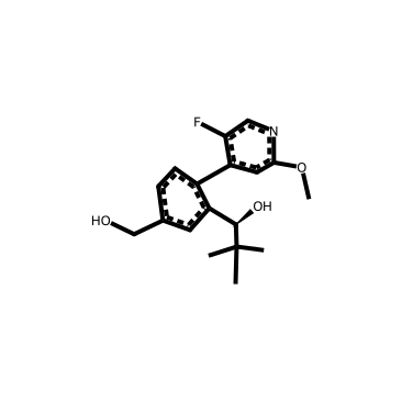 COc1cc(-c2ccc(CO)cc2[C@@H](O)C(C)(C)C)c(F)cn1